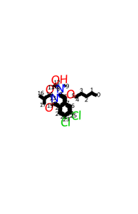 CCCCCOc1c(N(C)C(=O)O)n(CC(C)C)c(=O)c2cc(Cl)c(Cl)cc12